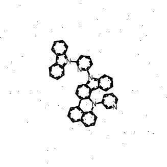 c1cncc(N2c3cccc4cccc(c34)-c3ccc4c(c32)c2ccccc2n4-c2cccc(-n3c4ccccc4c4ccccc43)n2)c1